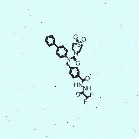 O=C(NNC(=O)C(F)F)c1ccc(CN(C(=O)N2CCS(=O)(=O)CC2)c2ccc(-c3ccccc3)cc2)cc1